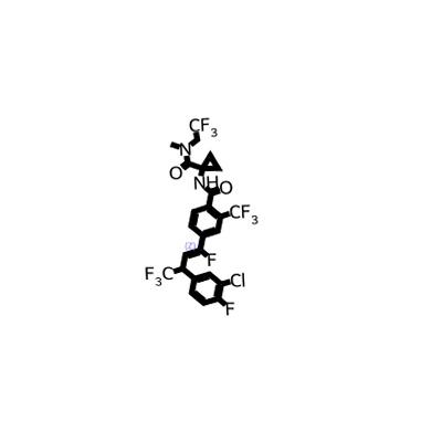 CN(CC(F)(F)F)C(=O)C1(NC(=O)c2ccc(/C(F)=C/C(c3ccc(F)c(Cl)c3)C(F)(F)F)cc2C(F)(F)F)CC1